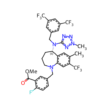 COC(=O)c1cc(CN2CCC[C@H](N(Cc3cc(C(F)(F)F)cc(C(F)(F)F)c3)c3nnn(C)n3)c3cc(C)c(C(F)(F)F)cc32)ccc1F